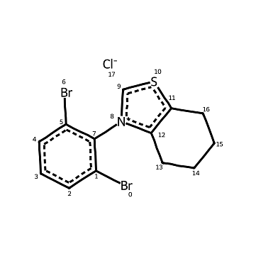 Brc1cccc(Br)c1-[n+]1csc2c1CCCC2.[Cl-]